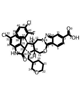 O=C(O)c1ccc2c3n(nc2c1)C[C@@H]1[C@H](CO3)N(CC2CCCOC2)[C@@]2(C(=O)Nc3cc(Cl)ccc32)[C@H]1c1cccc(Cl)c1F